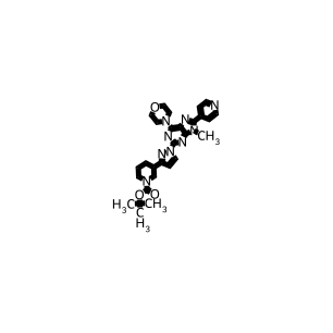 Cn1c(-c2ccncc2)nc2c(N3CCOCC3)nc(-n3ccc(C4CCCN(C(=O)OC(C)(C)C)C4)n3)nc21